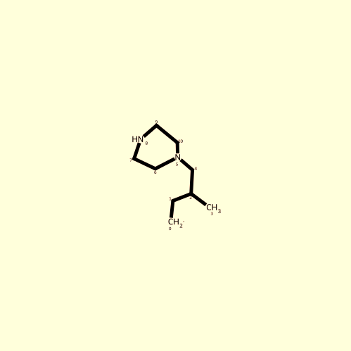 [CH2]CC(C)CN1CCNCC1